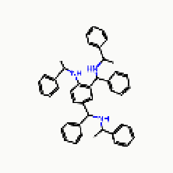 CC(Nc1ccc(C(NC(C)c2ccccc2)c2ccccc2)cc1C(NC(C)c1ccccc1)c1ccccc1)c1ccccc1